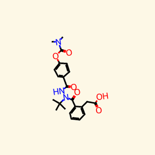 CN(C)C(=O)Oc1ccc(C(=O)NN(C(=O)c2ccccc2CC(=O)O)C(C)(C)C)cc1